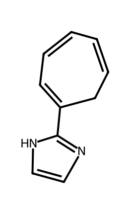 C1=CC=C(c2ncc[nH]2)CC=C1